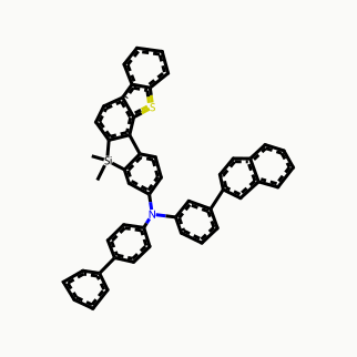 C[Si]1(C)c2cc(N(c3ccc(-c4ccccc4)cc3)c3cccc(-c4ccc5ccccc5c4)c3)ccc2-c2c1ccc1c2sc2ccccc21